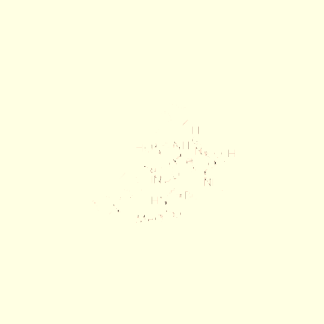 COC(=O)N[C@H](C(=O)N[C@@H](Cc1ccc(-c2ccccn2)cc1)C[C@H](O)[C@H](Cc1ccccc1)NC(=O)[C@H](CC(N)=O)N(C)C(=O)O)C(C)(C)C